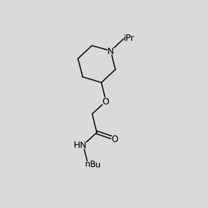 CCCCNC(=O)COC1CCCN(C(C)C)C1